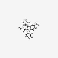 CCOC(=O)C1=C(c2ccccc2)c2ccc(OC)cc2C1N(CC)CC